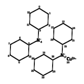 C1CCC([N-]C2CCCCC2)CC1.C1CCC([N-]C2CCCCC2)CC1.[Cu+2]